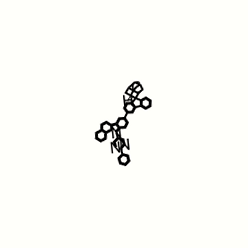 c1ccc(-c2ncc(-n3c4ccc(-c5ccc6c(c5)-c5ccccc5C65C6CC7CC8C[C@@H]5C86C7)cc4c4ccc5ccccc5c43)cn2)cc1